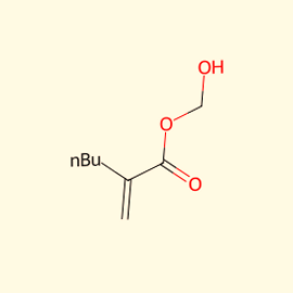 C=C(CCCC)C(=O)OCO